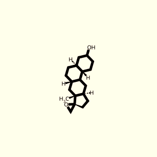 C[C@@]12C[C@@H]3CC[C@H]4CC(O)CC[C@@H]4C3C[C@H]1CC[C@]21CO1